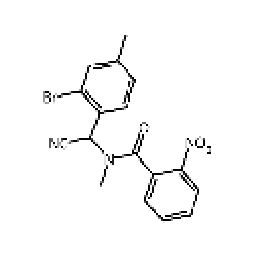 Cc1ccc(C(C#N)N(C)C(=O)c2ccccc2[N+](=O)[O-])c(Br)c1